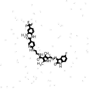 Cc1[nH]c(C=NN=C2C(=O)Nc3ccc(F)cc32)c(C)c1C(=O)NCCNc1ccc(C(=O)Nc2ccc(C(F)(F)F)cc2N)cn1